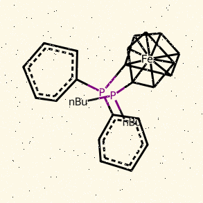 CCCCP(CCCC)[C]12[CH]3[CH]4[CH]5[CH]1[Fe]45321678[CH]2[CH]1[CH]6[C]7(P(c1ccccc1)c1ccccc1)[CH]28